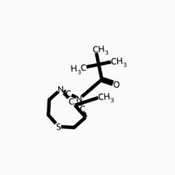 CC1CN2CCSCC1CN(C(=O)C(C)(C)C)C2